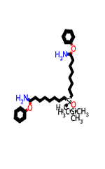 C[Si](C)(C)O[Si](C)(CCCCCCCC(N)Oc1ccccc1)CCCCCCCC(N)Oc1ccccc1